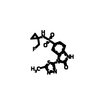 Cc1nnc(-n2c(=O)[nH]c3ccc(S(=O)(=O)NC4(CF)CC4)cc32)s1